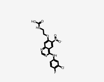 O=C(O)NCCOc1cc2ncnc(Nc3ccc(F)c(Cl)c3)c2cc1[N+](=O)[O-]